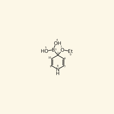 CCOC1(B(O)O)C=CNC=C1